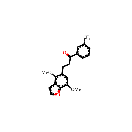 COc1c(CCC(=O)c2cccc(C(F)(F)F)c2)cc(OC)c2occc12